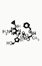 C[C@@H](NOCc1ccccc1)C(=O)OP(=O)(O)O.Nc1nc(NC2CC2)c2ncn([C@H]3C=C[C@@H](CO)C3)c2n1